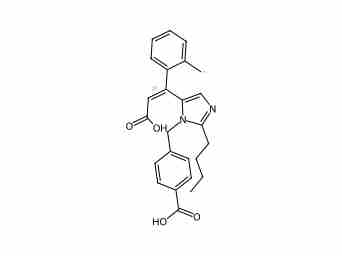 [CH2]c1ccccc1/C(=C/C(=O)O)c1cnc(CCCC)n1Cc1ccc(C(=O)O)cc1